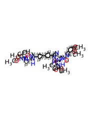 COC(=O)N[C@H](C(=O)N1CCC[C@H]1c1ncc(-c2ccc(-c3ccc(-c4cnc([C@@H]5CN(C(=O)N6Cc7ccc(OC)c(OC)c7C6)CN5C(=O)[C@@H](NC(=O)OC)C(C)C)[nH]4)cc3)cc2)[nH]1)C(C)C